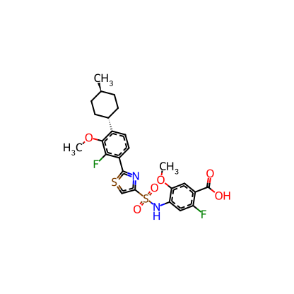 COc1cc(C(=O)O)c(F)cc1NS(=O)(=O)c1csc(-c2ccc([C@H]3CC[C@H](C)CC3)c(OC)c2F)n1